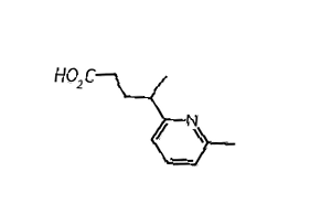 Cc1cccc(C(C)CCC(=O)O)n1